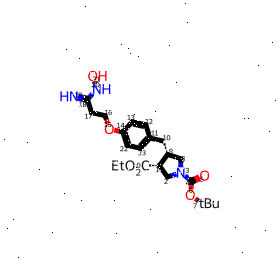 CCOC(=O)[C@H]1CN(C(=O)OC(C)(C)C)C[C@H]1Cc1ccc(OCCC(=N)NO)cc1